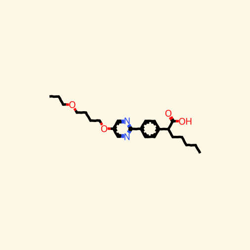 CCCCCC(C(=O)O)c1ccc(-c2ncc(OCCCCOCCC)cn2)cc1